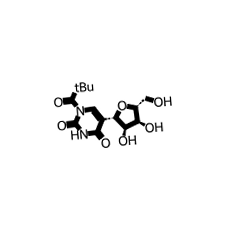 CC(C)(C)C(=O)n1cc([C@@H]2O[C@H](CO)[C@@H](O)[C@H]2O)c(=O)[nH]c1=O